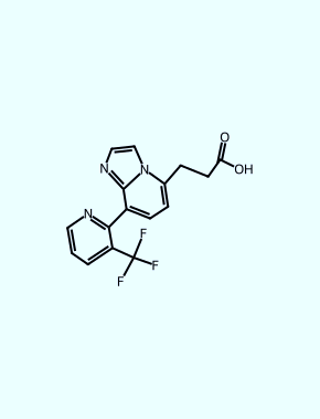 O=C(O)CCc1ccc(-c2ncccc2C(F)(F)F)c2nccn12